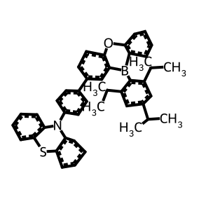 CC(C)c1cc(C(C)C)c(B2c3ccccc3Oc3ccc(-c4ccc(N5c6ccccc6Sc6ccccc65)cc4)cc32)c(C(C)C)c1